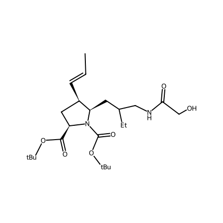 CC=C[C@@H]1C[C@H](C(=O)OC(C)(C)C)N(C(=O)OC(C)(C)C)[C@@H]1CC(CC)CNC(=O)CO